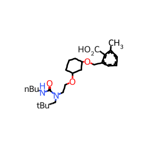 CCCCNC(=O)N(CCOC1CCCC(OCc2cccc(C)c2C(=O)O)C1)CC(C)(C)C